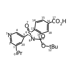 CC(C)c1cncc(S(=O)(=NC(=O)OC(C)(C)C)c2ccc(C(=O)O)cc2)c1